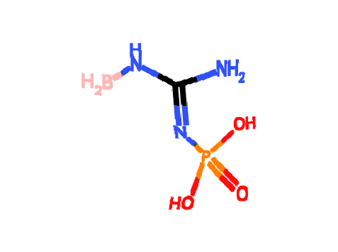 BNC(N)=NP(=O)(O)O